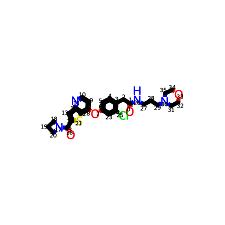 O=C(Cc1ccc(Oc2ccnc3cc(C(=O)N4CCC4)sc23)cc1Cl)NCCCN1CCOCC1